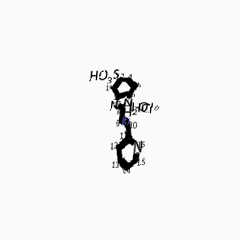 Cl.O.O=S(=O)(O)c1ccc2[nH]c(/C=C/c3ccccn3)nc2c1